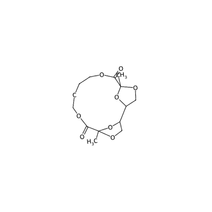 CC12OCC(O1)C1COC(C)(O1)C(=O)OCCCCOC2=O